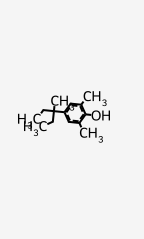 CCC(C)(CC)c1cc(C)c(O)c(C)c1